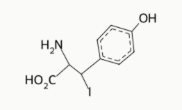 NC(C(=O)O)C(I)c1ccc(O)cc1